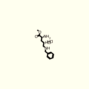 COC(=O)[C@@H](N)CCCNCc1ccccc1.Cl.Cl